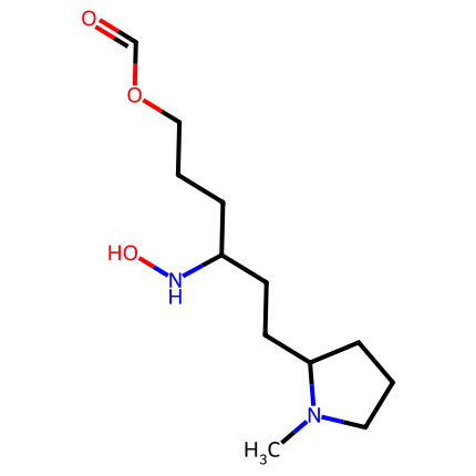 CN1CCCC1CCC(CCCOC=O)NO